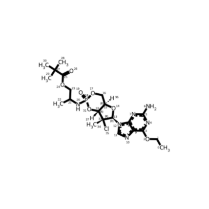 CCOc1nc(N)nc2c1ncn2[C@@H]1O[C@@H]2COP(=O)(NC(C)COC(=O)C(C)(C)C)O[C@H]2[C@@]1(C)Cl